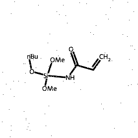 C=CC(=O)N[Si](OC)(OC)OCCCC